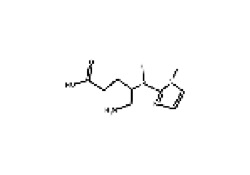 CN(c1nccn1C)C(CN)CCC(=O)O